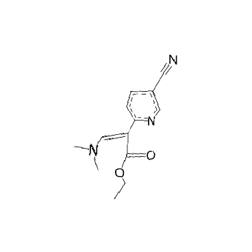 CCOC(=O)C(=CN(C)C)c1ccc(C#N)cn1